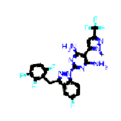 Cn1nc(C(F)(F)F)cc1-c1c(N)nc(-n2nc(Cc3c(F)ccc(F)c3F)c3cc(F)ccc32)nc1N